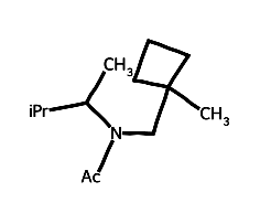 CC(=O)N(CC1(C)CCC1)C(C)C(C)C